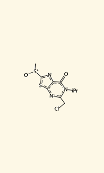 CC(C)n1c(CCl)nc2sc([S+](C)[O-])nc2c1=O